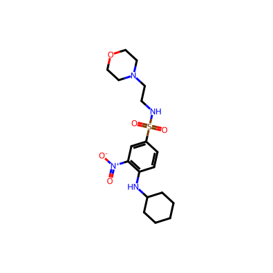 O=[N+]([O-])c1cc(S(=O)(=O)NCCN2CCOCC2)ccc1NC1CCCCC1